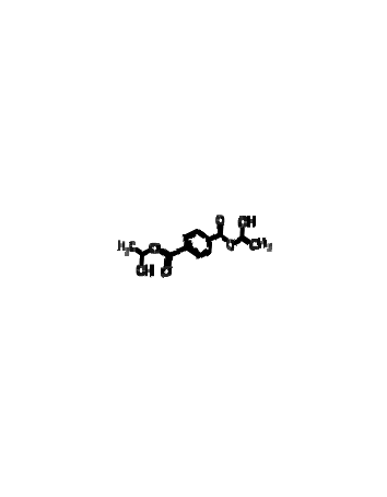 CC(O)OC(=O)c1ccc(C(=O)OC(C)O)cc1